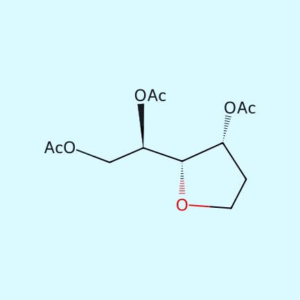 CC(=O)OC[C@@H](OC(C)=O)[C@H]1OCC[C@H]1OC(C)=O